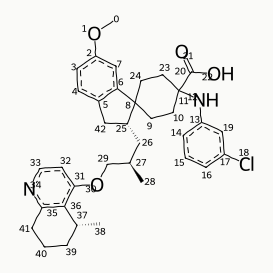 COc1ccc2c(c1)C1(CCC(Nc3cccc(Cl)c3)(C(=O)O)CC1)[C@H](C[C@@H](C)COc1ccnc3c1[C@H](C)CCC3)C2